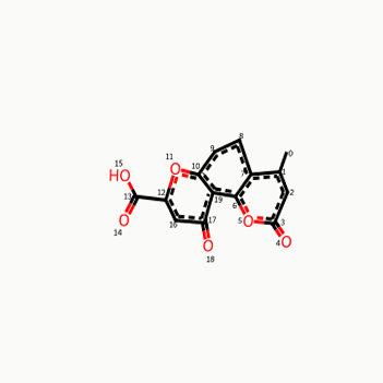 Cc1cc(=O)oc2c1ccc1oc(C(=O)O)cc(=O)c12